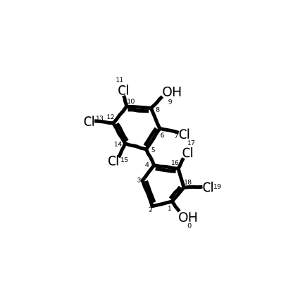 Oc1ccc(-c2c(Cl)c(O)c(Cl)c(Cl)c2Cl)c(Cl)c1Cl